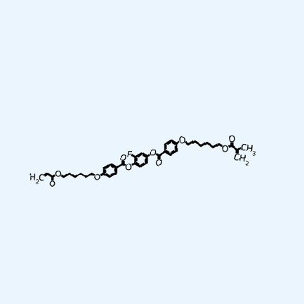 C=CC(=O)OCCCCCCOc1ccc(C(=O)Oc2ccc(OC(=O)c3ccc(OCCCCCCOC(=O)C(=C)C)cc3)cc2F)cc1